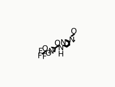 COCCN(C)c1ccc(NC(=O)C2CN(OC(=O)C(F)(F)F)C2)nc1